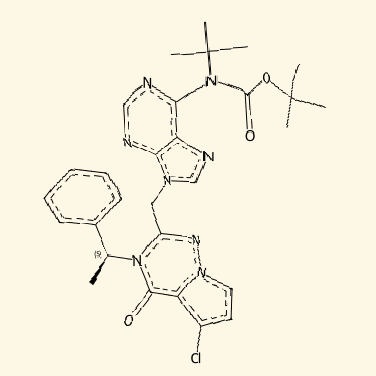 C[C@@H](c1ccccc1)n1c(Cn2cnc3c(N(C(=O)OC(C)(C)C)C(C)(C)C)ncnc32)nn2ccc(Cl)c2c1=O